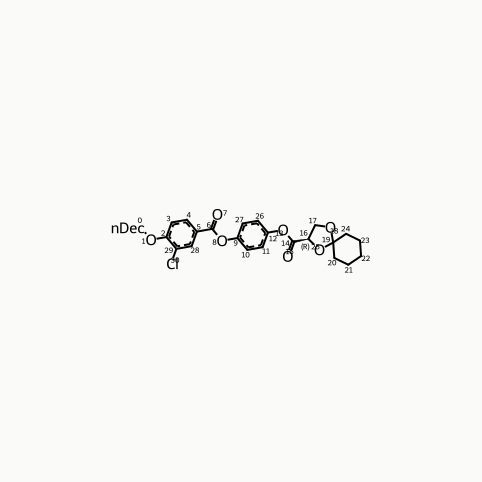 CCCCCCCCCCOc1ccc(C(=O)Oc2ccc(OC(=O)[C@H]3COC4(CCCCC4)O3)cc2)cc1Cl